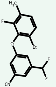 [C-]#[N+]c1cc(Oc2c(CC)ccc(C)c2F)cc(C(F)F)c1